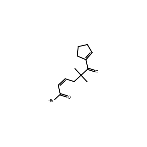 CC(C)(C)C(=O)/C=C\CC(C)(C)C(=O)C1=CCCC1